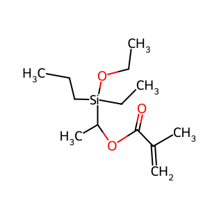 C=C(C)C(=O)OC(C)[Si](CC)(CCC)OCC